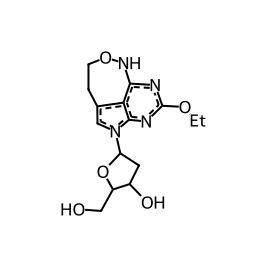 CCOc1nc2c3c(cn(C4CC(O)C(CO)O4)c3n1)CCON2